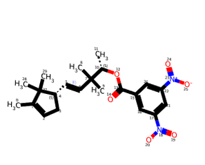 CC1=CC[C@@H](/C=C/C(C)(C)[C@H](C)OC(=O)c2cc([N+](=O)[O-])cc([N+](=O)[O-])c2)C1(C)C